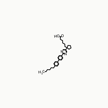 CCCCCCc1ccc(-c2ccc(-c3ncc(C4(CCCCCC(=O)O)CCCC4)cn3)cc2)cc1